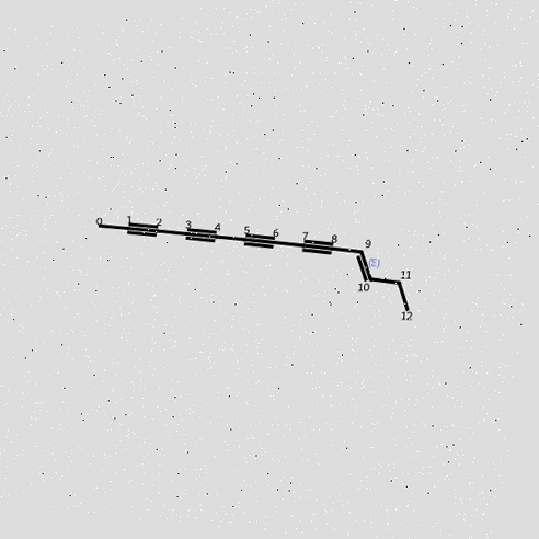 CC#CC#CC#CC#C/C=C/CC